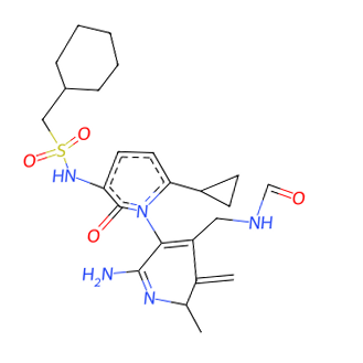 C=C1C(CNC=O)=C(n2c(C3CC3)ccc(NS(=O)(=O)CC3CCCCC3)c2=O)C(N)=NC1C